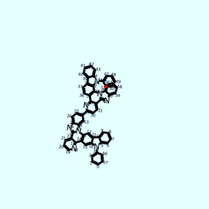 c1ccc(-n2c3ccccc3c3cc4c(cc32)c2ncccc2c2nc3ccc(-c5ccc6c(n5)c5ccc7c8ccccc8n(-c8ccccc8)c7c5n5c7ccccc7nc65)cc3n42)cc1